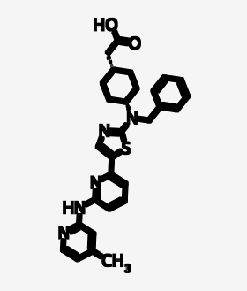 Cc1ccnc(Nc2cccc(-c3cnc(N(Cc4ccccc4)[C@H]4CC[C@@H](CC(=O)O)CC4)s3)n2)c1